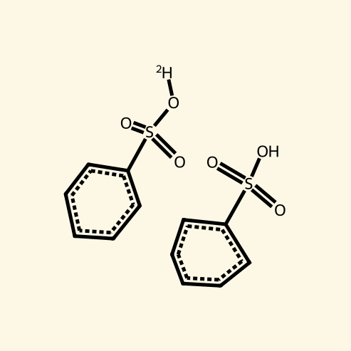 O=S(=O)(O)c1ccccc1.[2H]OS(=O)(=O)c1ccccc1